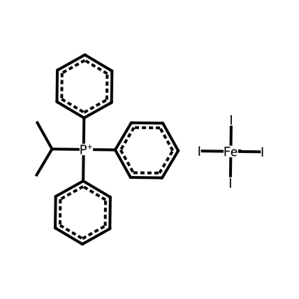 CC(C)[P+](c1ccccc1)(c1ccccc1)c1ccccc1.[I][Fe-]([I])([I])[I]